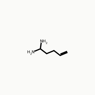 C=CCCC(N)N